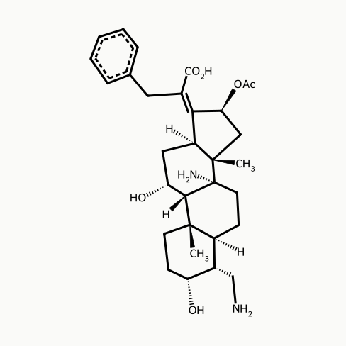 CC(=O)O[C@H]1C[C@@]2(C)[C@@H](C[C@@H](O)[C@H]3[C@@]4(C)CC[C@@H](O)[C@@H](CN)[C@@H]4CC[C@@]32N)/C1=C(\Cc1ccccc1)C(=O)O